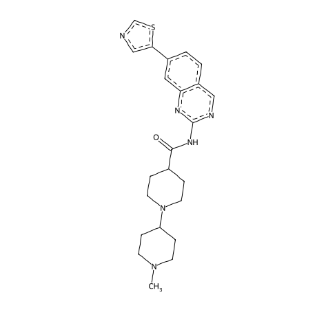 CN1CCC(N2CCC(C(=O)Nc3ncc4ccc(-c5cncs5)cc4n3)CC2)CC1